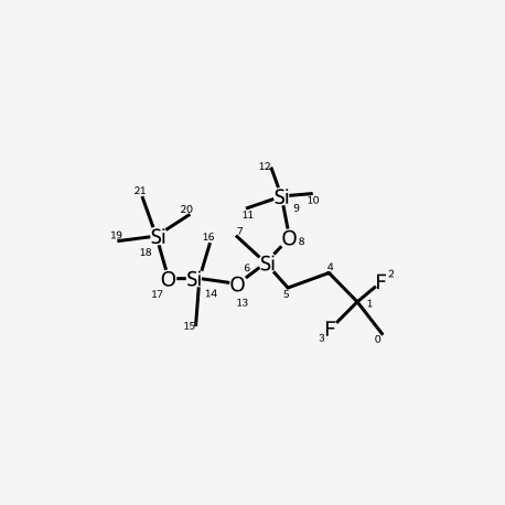 CC(F)(F)CC[Si](C)(O[Si](C)(C)C)O[Si](C)(C)O[Si](C)(C)C